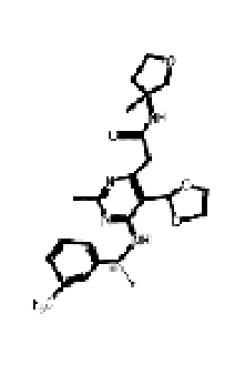 Cc1nc(CC(=O)NC2(C)CCOC2)c(C2OCCO2)c(N[C@H](C)c2cccc(C(F)(F)F)c2)n1